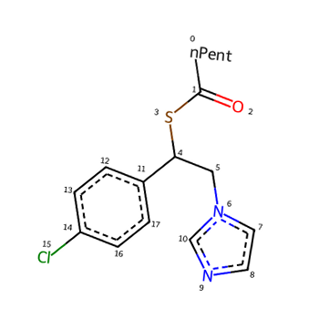 CCCCCC(=O)SC(Cn1ccnc1)c1ccc(Cl)cc1